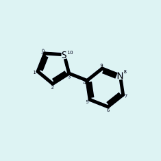 [c]1ccc(-c2cccnc2)s1